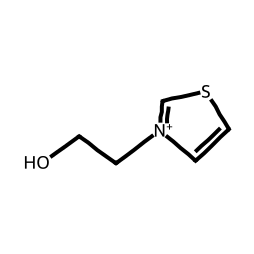 OCC[n+]1ccsc1